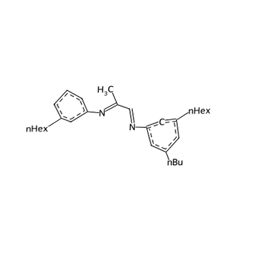 CCCCCCc1cc(CCCC)cc(N=CC(C)=Nc2cccc(CCCCCC)c2)c1